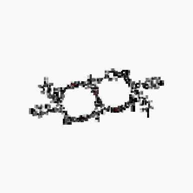 OC(COCC1(COCC(O)CN2CCNCC2)COCC(O)CN2CCN(CC2)CC(O)COCC2(COCC(O)CN3CCN(CC3)CC(O)COC1)COCC(O)CN1CCN(CC1)CC(O)COCC(COCC(O)CN1CCNCC1)(COCC(O)CN1CCNCC1)COCC(O)CN1CCN(CC1)CC(O)COC2)CN1CCNCC1